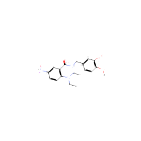 CCN(CC)c1ccc([N+](=O)[O-])cc1C(=O)NCc1ccc(OC)c(O)c1